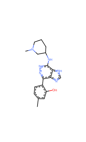 Cc1ccc(-c2nnc(NC3CCCN(C)C3)c3[nH]cnc23)c(O)c1